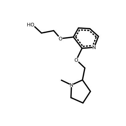 CN1CCCC1COc1ncccc1OCCO